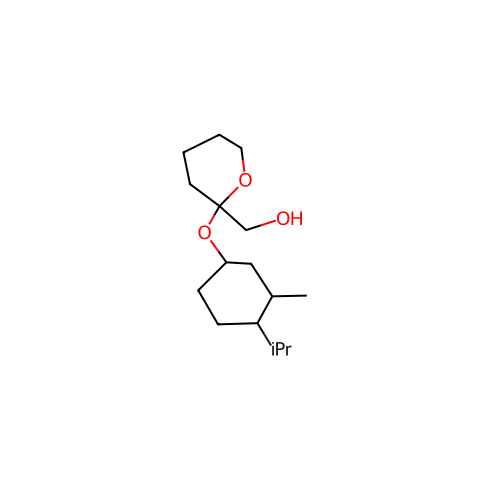 CC(C)C1CCC(OC2(CO)CCCCO2)CC1C